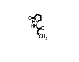 C=CC(=O)N[SH]1CCCC1=O